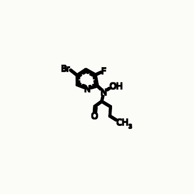 CCCC(C=O)N(O)c1ncc(Br)cc1F